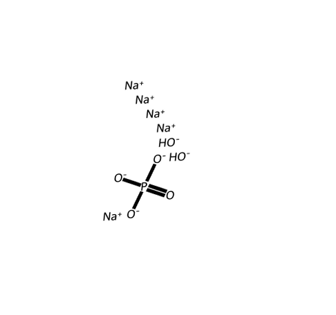 O=P([O-])([O-])[O-].[Na+].[Na+].[Na+].[Na+].[Na+].[OH-].[OH-]